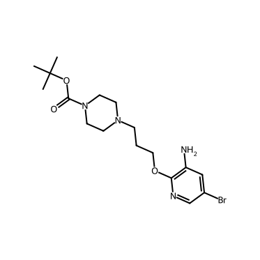 CC(C)(C)OC(=O)N1CCN(CCCOc2ncc(Br)cc2N)CC1